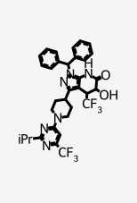 CC(C)c1nc(N2CCC(c3nn(C(c4ccccc4)c4ccccc4)c4c3C(C(F)(F)F)C(O)C(=O)N4)CC2)cc(C(F)(F)F)n1